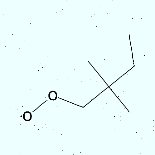 CCC(C)(C)CO[O]